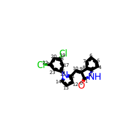 O=C1Nc2ccccc2C1=Cc1cccn1-c1cc(Cl)cc(Cl)c1